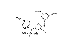 COc1cc(OC)nc(Sc2ccc(C(c3ccc([N+](=O)[O-])cc3)P(=O)(OC)OC)c(Cl)c2C(=O)O)n1